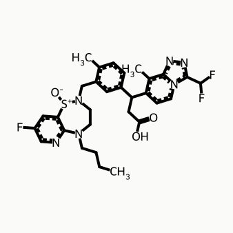 CCCCN1CCN(Cc2cc(C(CC(=O)O)c3ccn4c(C(F)F)nnc4c3C)ccc2C)[S+]([O-])c2cc(F)cnc21